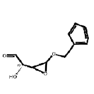 O=C[C@@H](O)C1OC1OCc1ccccc1